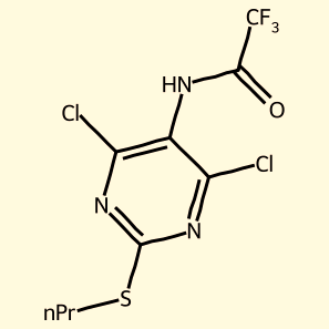 CCCSc1nc(Cl)c(NC(=O)C(F)(F)F)c(Cl)n1